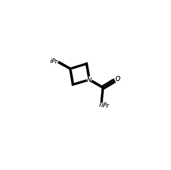 CCCC(=O)N1CC(C(C)C)C1